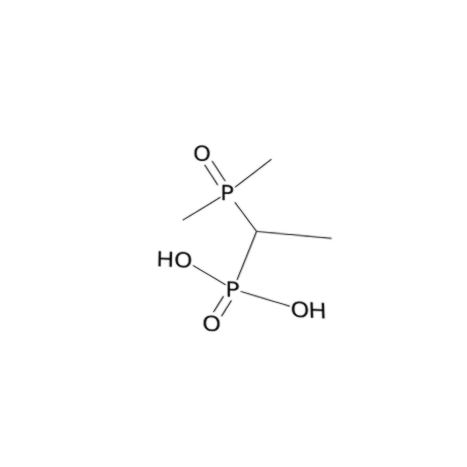 CC(P(C)(C)=O)P(=O)(O)O